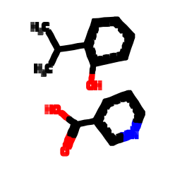 CC(C)c1ccccc1O.O=C(O)c1cccnc1